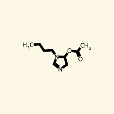 CCCCN1C=NCC1OC(C)=O